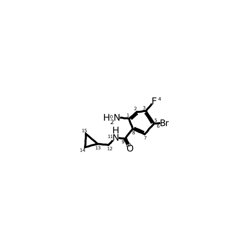 Nc1cc(F)c(Br)cc1C(=O)NCC1CC1